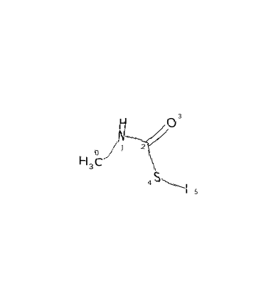 CNC(=O)SI